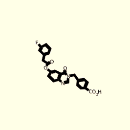 O=C(Cc1cccc(F)c1)Oc1ccc2ncn(Cc3ccc(C(=O)O)cc3)c(=O)c2c1